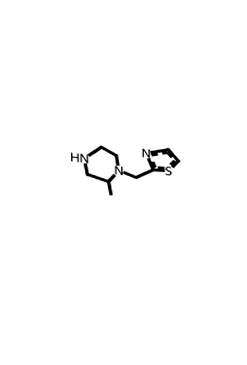 CC1CNCCN1Cc1nccs1